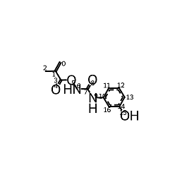 C=C(C)C(=O)ONC(=O)Nc1cccc(O)c1